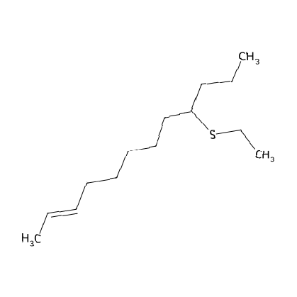 CC=CCCCCCC(CCC)SCC